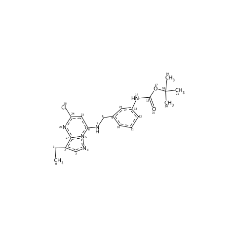 CCc1cnn2c(NCc3cccc(NC(=O)OC(C)(C)C)c3)cc(Cl)nc12